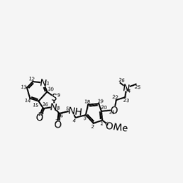 COc1cc(CNC(=O)n2sc3ncccc3c2=O)ccc1OCCN(C)C